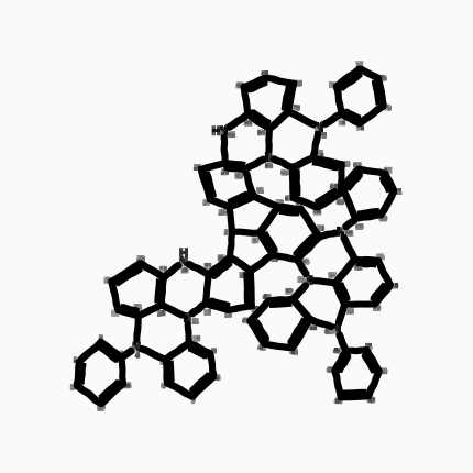 c1ccc(N2c3ccccc3B3c4ccc5c(c4Nc4cccc2c43)C2c3ccc4c(c3-c3cc6c(c-5c32)B2c3ccccc3N(c3ccccc3)c3cccc(c32)N6c2ccccc2)B2c3ccccc3N(c3ccccc3)c3cccc(c32)N4)cc1